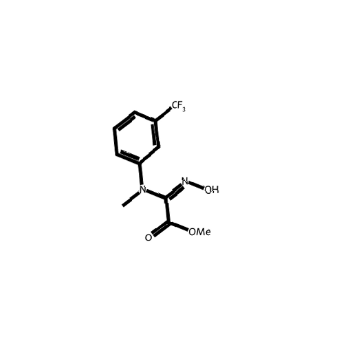 COC(=O)C(=NO)N(C)c1cccc(C(F)(F)F)c1